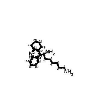 NCCCCCCC(N)c1c2c(nc3ccccc13)CCCC2